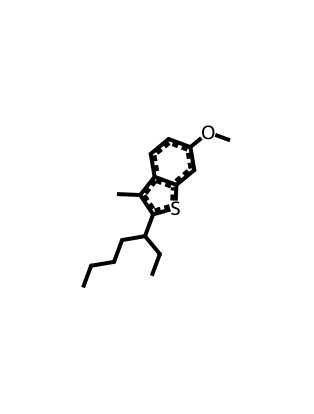 CCCCC(CC)c1sc2cc(OC)ccc2c1C